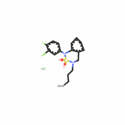 CNCCCN1Cc2ccccc2N(c2ccc(F)c(F)c2)S1(=O)=O.Cl